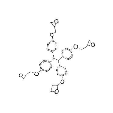 c1cc(C(c2ccc(OCC3CO3)cc2)C(c2ccc(OCC3CO3)cc2)c2ccc(OC3CCO3)cc2)ccc1OCC1CO1